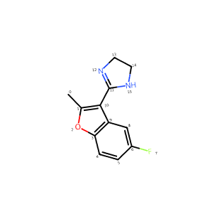 Cc1oc2ccc(F)cc2c1C1=NCCN1